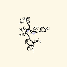 C/C(=C(\CCOP(=O)(O)O)S/C(=C/c1ccc(Cl)cc1F)C(=O)O)N(C=O)Cc1cnc(C)nc1N